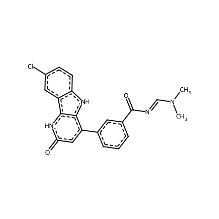 CN(C)C=NC(=O)c1cccc(-c2cc(=O)[nH]c3c2[nH]c2ccc(Cl)cc23)c1